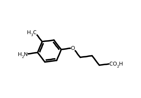 Cc1cc(OCCCC(=O)O)ccc1N